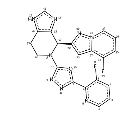 Fc1cccnc1-c1nnc(N2CCc3[nH]cnc3[C@H]2c2cc3c(F)cccn3n2)o1